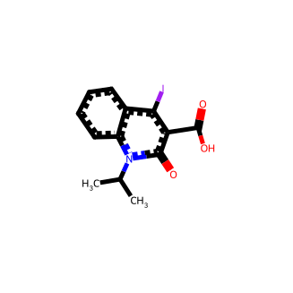 CC(C)n1c(=O)c(C(=O)O)c(I)c2ccccc21